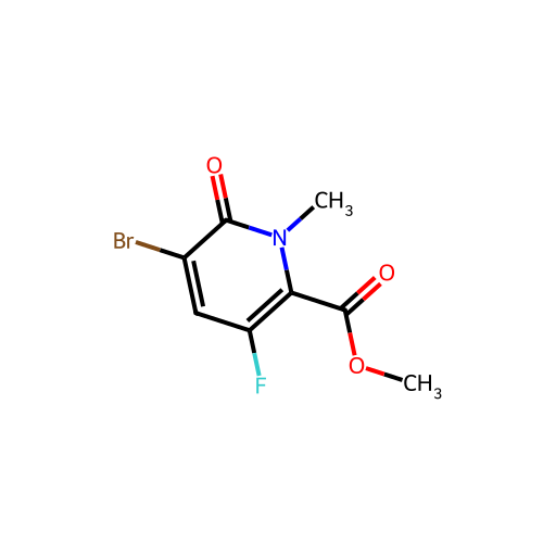 COC(=O)c1c(F)cc(Br)c(=O)n1C